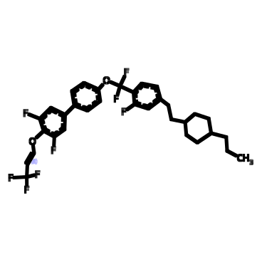 CCCC1CCC(CCc2ccc(C(F)(F)Oc3ccc(-c4cc(F)c(O/C=C/C(F)(F)F)c(F)c4)cc3)c(F)c2)CC1